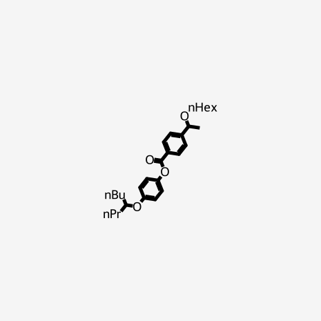 CCCCCCOC(C)c1ccc(C(=O)Oc2ccc(OC(CCC)CCCC)cc2)cc1